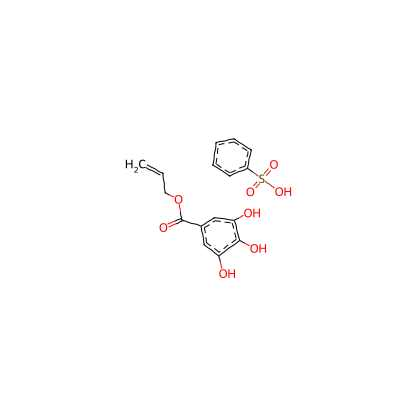 C=CCOC(=O)c1cc(O)c(O)c(O)c1.O=S(=O)(O)c1ccccc1